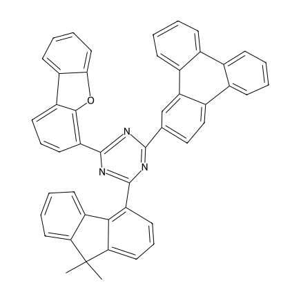 CC1(C)c2ccccc2-c2c(-c3nc(-c4ccc5c6ccccc6c6ccccc6c5c4)nc(-c4cccc5c4oc4ccccc45)n3)cccc21